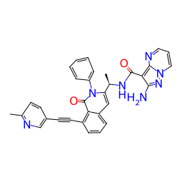 Cc1ccc(C#Cc2cccc3cc([C@@H](C)NC(=O)c4c(N)nn5cccnc45)n(-c4ccccc4)c(=O)c23)cn1